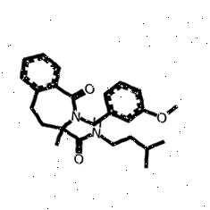 COc1cccc(CN2C(=O)c3ccccc3CCC2(C)C(=O)NCCC(C)C)c1